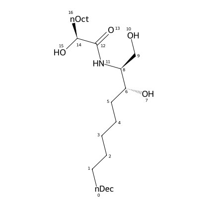 CCCCCCCCCCCCCCC[C@@H](O)[C@H](CO)NC(=O)[C@@H](O)CCCCCCCC